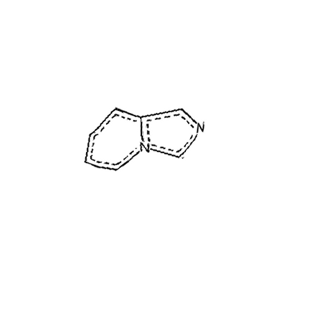 [c]1ncc2ccccn12